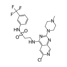 CN1CCN(c2nc(NCCS(=O)(=O)Nc3cccc(C(F)(F)F)c3)c3cc(Cl)ncc3n2)CC1